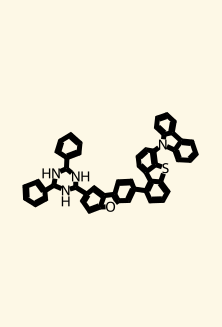 c1ccc(C2NC(c3ccccc3)NC(c3ccc4oc5cc(-c6cccc7sc8c(-n9c%10ccccc%10c%10ccccc%109)cccc8c67)ccc5c4c3)N2)cc1